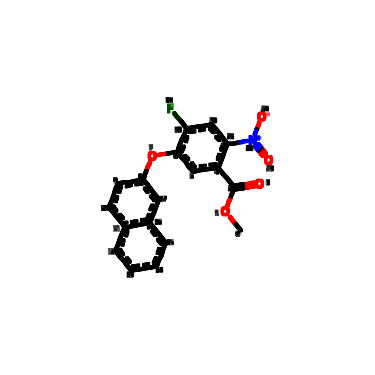 COC(=O)c1cc(Oc2ccc3ccccc3c2)c(F)cc1[N+](=O)[O-]